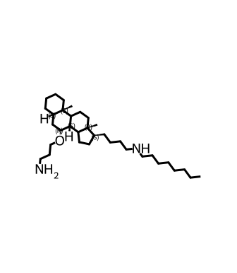 CCCCCCCCNCCCC[C@H]1CCC2[C@H]3C(CC[C@@]21C)[C@@]1(C)CCCC[C@H]1C[C@H]3OCCCN